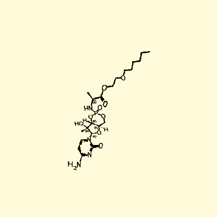 CCCCCCOCCOC(=O)[C@H](C)NP1(=O)OC[C@H]2O[C@@H](n3ccc(N)nc3=O)[C@](C)(O)[C@@H]2O1